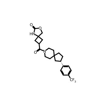 O=C1NC2(CO1)CC(C(=O)N1CCC3(CC[C@H](c4ccc(C(F)(F)F)cc4)C3)CC1)C2